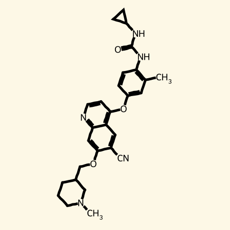 Cc1cc(Oc2ccnc3cc(OCC4CCCN(C)C4)c(C#N)cc23)ccc1NC(=O)NC1CC1